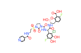 O=C(NCCS(=O)(=O)N1CCN(C(=O)NC(C(=O)N[C@H]2Cc3ccc(F)c(C(=O)O)c3OB2O)c2cc(F)c(O)c(O)c2Cl)C1=O)c1ccncc1